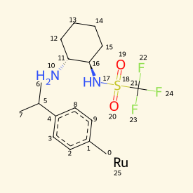 Cc1ccc(C(C)C)cc1.N[C@@H]1CCCC[C@H]1NS(=O)(=O)C(F)(F)F.[Ru]